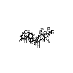 COc1nc(NS(=O)(=O)c2c[nH]c3c(-n4cc(C)cn4)c(Cl)ccc23)nc(OC)c1OCC(F)F